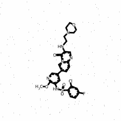 COc1ncc(-c2ccc3ncc(NCCN4CCOCC4)c(=O)n3c2)cc1NS(=O)(=O)c1ccc(F)cc1Cl